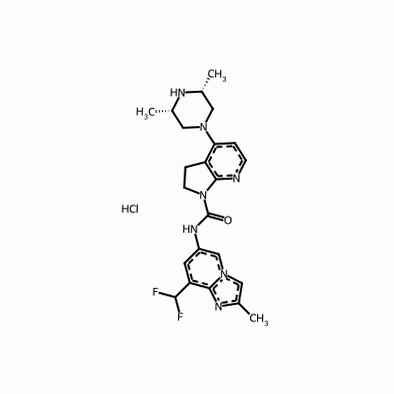 Cc1cn2cc(NC(=O)N3CCc4c(N5C[C@@H](C)N[C@@H](C)C5)ccnc43)cc(C(F)F)c2n1.Cl